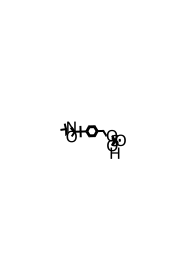 CC1(C)COC(C(C)(C)c2ccc(CCO[SH](=O)=O)cc2)=N1